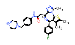 Cc1sc2c(c1C)C(c1ccc(Cl)cc1)=N[C@@H](CC(=O)Nc1ccc(CN3CCNCC3)cc1)c1nnc(C)n1-2